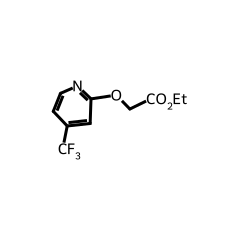 CCOC(=O)COc1cc(C(F)(F)F)ccn1